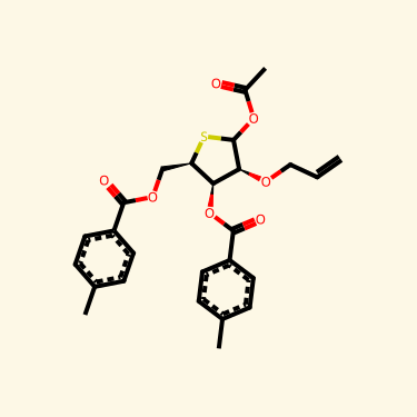 C=CCO[C@@H]1C(OC(C)=O)S[C@H](COC(=O)c2ccc(C)cc2)[C@@H]1OC(=O)c1ccc(C)cc1